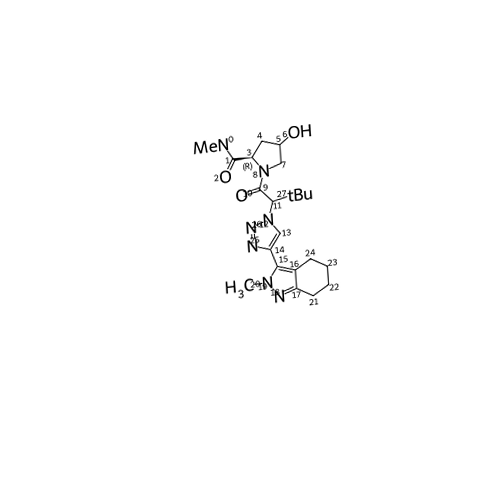 CNC(=O)[C@H]1CC(O)CN1C(=O)C(n1cc(-c2c3c(nn2C)CCCC3)nn1)C(C)(C)C